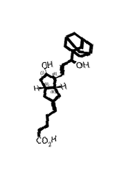 O=C(O)CCCC=C1C[C@@H]2C[C@H](O)[C@@H](C=CC(O)C34CC5CC(CC(C5)C3)C4)[C@@H]2C1